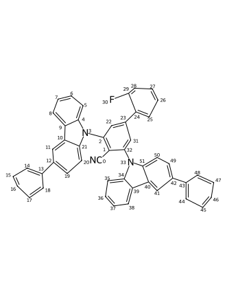 N#Cc1c(-n2c3ccccc3c3cc(-c4ccccc4)ccc32)cc(-c2ccccc2F)cc1-n1c2ccccc2c2cc(-c3ccccc3)ccc21